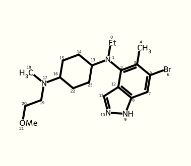 CCN(c1c(C)c(Br)cc2[nH]ncc12)C1CCC(N(C)CCOC)CC1